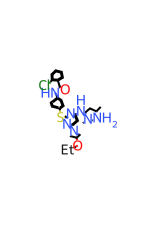 CCOC1CN(c2cc(NC(CC(C)N)N(C)C)nc(Sc3ccc(NC(=O)c4ccccc4Cl)cc3)n2)C1